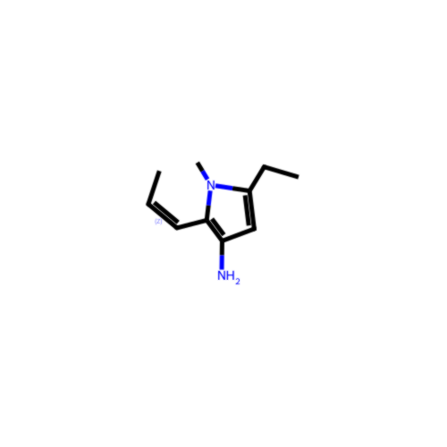 C/C=C\c1c(N)cc(CC)n1C